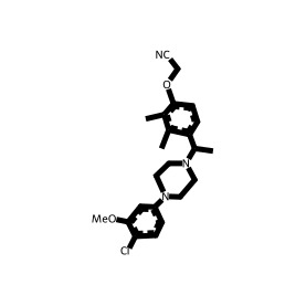 COc1cc(N2CCN(C(C)c3ccc(OCC#N)c(C)c3C)CC2)ccc1Cl